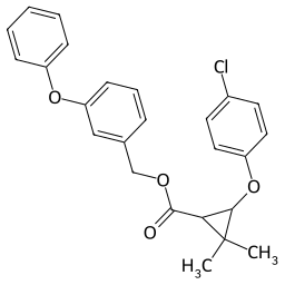 CC1(C)C(Oc2ccc(Cl)cc2)C1C(=O)OCc1cccc(Oc2ccccc2)c1